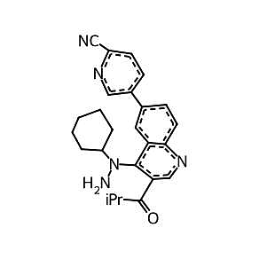 CC(C)C(=O)c1cnc2ccc(-c3ccc(C#N)nc3)cc2c1N(N)C1CCCCC1